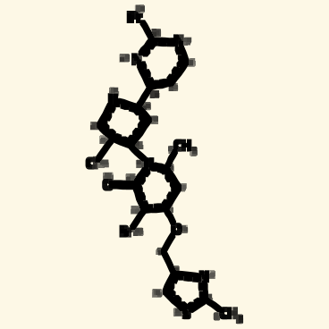 Cc1nc(COc2cc(C)n(-c3cc(-c4ccnc(C(C)C)n4)ncc3Cl)c(=O)c2Br)cs1